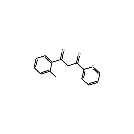 O=C(CC(=O)c1ccccc1I)c1ccccn1